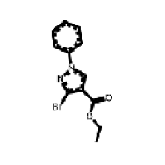 CCOC(=O)c1cn(-c2ccccc2)nc1Br